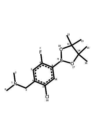 CN(C)Cc1cc(F)c(B2OC(C)(C)C(C)(C)O2)cc1Cl